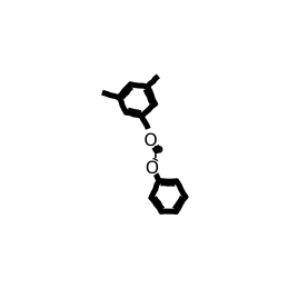 Cc1cc(C)cc(C)c1.O=POc1ccccc1